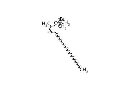 C=C=C=C=C=C=C=C=C=C=C=C=C=C/C=C\C(C)CO[Si](C)(C)C(C)(C)C